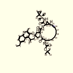 CCc1ccc2nc(C)c3c(c2c1)C(F)C[C@]1(C[C@H]2C(=O)N[C@]4(C(=O)NS(=O)(=O)C5(C)CC5)C[C@H]4/C=C\CCCCC[C@H](NC(=O)OC(C)(C)C)C(=O)N2C1)O3